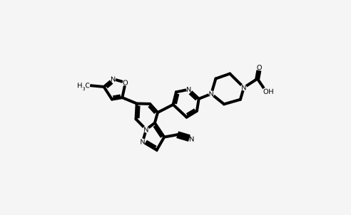 Cc1cc(-c2cc(-c3ccc(N4CCN(C(=O)O)CC4)nc3)c3c(C#N)cnn3c2)on1